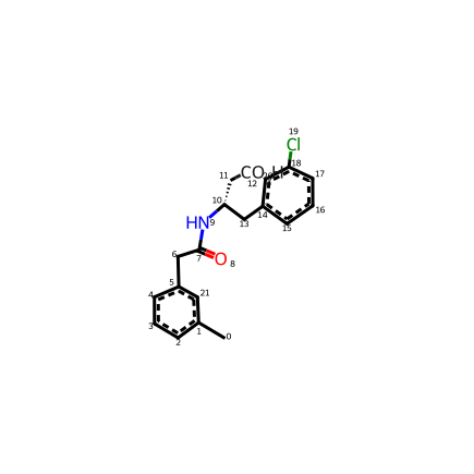 Cc1cccc(CC(=O)N[C@H](CC(=O)O)Cc2cccc(Cl)c2)c1